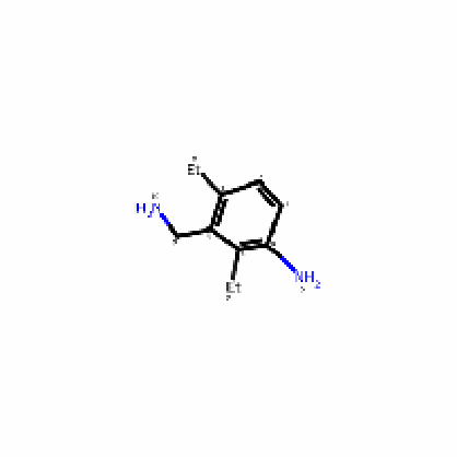 CCc1ccc(N)c(CC)c1CN